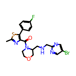 Cc1nc(C(=O)N2CCOCC2CNCc2ncc(Br)cn2)c(-c2ccc(F)cc2)s1